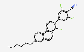 CCCCCCc1ccc2c(ccc3c(F)c(-c4cc(F)c(C#N)c(F)c4)ccc32)c1